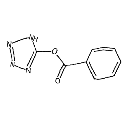 O=C(Oc1nnn[nH]1)c1ccccc1